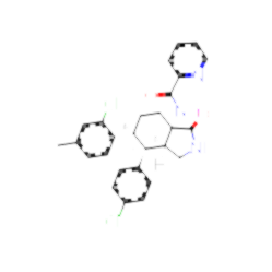 Cc1ccc([C@@H]2CC[C@@]3(NC(=O)c4ccccn4)C(=O)NC[C@H]3[C@H]2c2ccc(Cl)cc2)c(Cl)c1